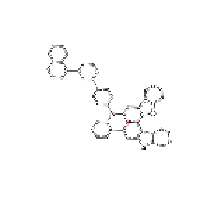 c1cc(-c2ccc(N(c3ccc4oc5ccccc5c4c3)c3ccccc3-c3ccc4c(c3)sc3ccccc34)cc2)cc(-c2cccc3ccccc23)c1